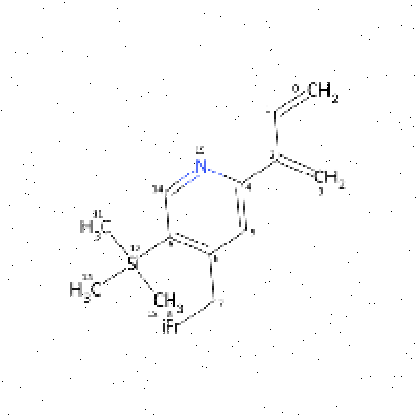 C=CC(=C)c1cc(CC(C)C)c([Si](C)(C)C)cn1